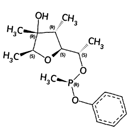 C[C@H](O[P@](C)Oc1ccccc1)[C@H]1O[C@@H](C)[C@](C)(O)[C@@H]1C